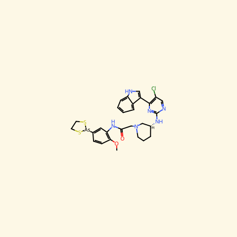 COc1ccc([As]2SCCS2)cc1NC(=O)CN1CCC[C@@H](Nc2ncc(Cl)c(-c3c[nH]c4ccccc34)n2)C1